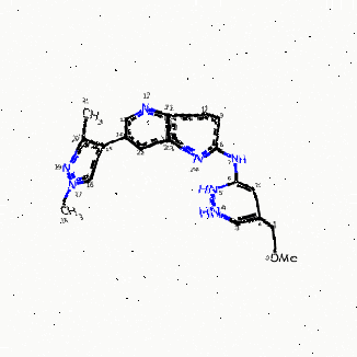 COCC1=CNNC(Nc2ccc3ncc(-c4cn(C)nc4C)cc3n2)=C1